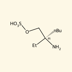 CCCC[C@](N)(CC)COS(=O)(=O)O